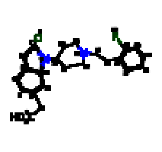 O=C(O)Cc1ccc2cc(Cl)n(C3CCN(CCc4ccccc4F)CC3)c2c1